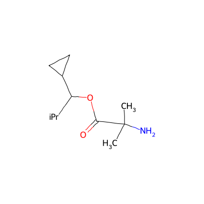 CC(C)C(OC(=O)C(C)(C)N)C1CC1